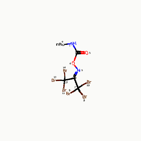 CCCCNC(=O)ON=C(C(Br)(Br)Br)C(Br)(Br)Br